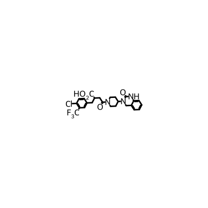 O=C(O)C(CC(=O)N1CCC(N2Cc3ccccc3NC2=O)CC1)Cc1ccc(Cl)c(C(F)(F)F)c1